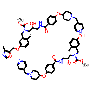 CC(C)(C)OC(=O)N1Cc2cc(O)ccc2C[C@H]1[C@H](O)CNC(=O)c1ccc(OC2CCN(Cc3ccncc3)CC2)cc1.Cc1ncoc1COc1ccc2c(c1)CN(C(=O)OC(C)(C)C)[C@H]([C@H](O)CNC(=O)c1ccc(OC3CCN(Cc4ccncc4)CC3)cc1)C2